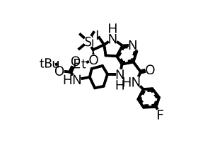 CCO[C@H](C1(I)Cc2c(ncc(C(=O)Nc3ccc(F)cc3)c2NC2CCC(NC(=O)OC(C)(C)C)CC2)N1)[Si](C)(C)C